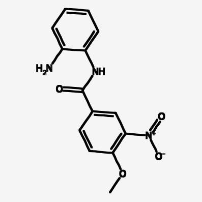 COc1ccc(C(=O)Nc2ccccc2N)cc1[N+](=O)[O-]